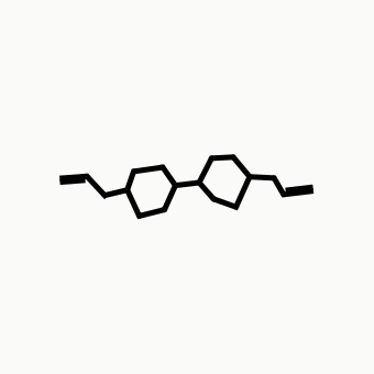 C=C[CH]C1CCC(C2CCC(CC=C)CC2)CC1